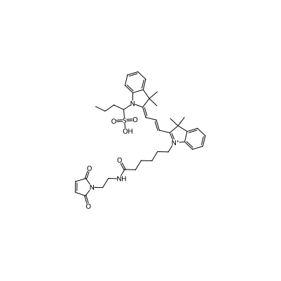 CCCC(N1/C(=C/C=C/C2=[N+](CCCCCC(=O)NCCN3C(=O)C=CC3=O)c3ccccc3C2(C)C)C(C)(C)c2ccccc21)S(=O)(=O)O